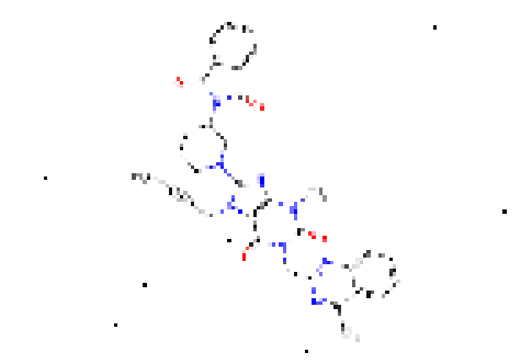 CC#CCn1c(N2CCCC(N3C(=O)c4ccccc4C3=O)C2)nc2c1c(=O)n(Cc1nc(C)c3ccccc3n1)c(=O)n2C